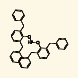 c1ccc(Cc2cccc(Cc3ccccc3)c2OPOc2c(Cc3ccccc3)cccc2Cc2ccccc2)cc1